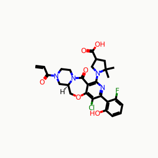 C=CC(=O)N1CCN2C(=O)c3c(N4CC(C(=O)O)CC4(C)C)nc(-c4c(O)cccc4F)c(Cl)c3OC[C@H]2C1